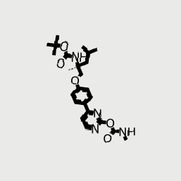 CNC(=O)Oc1nccc(-c2ccc(OC[C@](C)(CC(C)C)NC(=O)OC(C)(C)C)cc2)n1